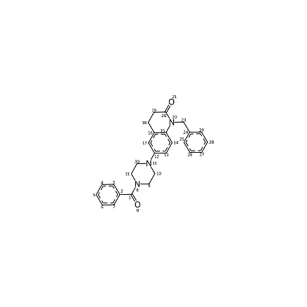 O=C(c1ccccc1)N1CCN(c2ccc3c(c2)CCC(=O)N3Cc2ccccc2)CC1